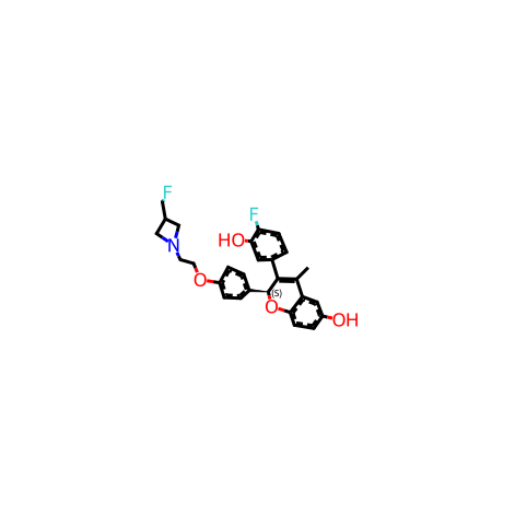 CC1=C(c2ccc(F)c(O)c2)[C@H](c2ccc(OCCN3CC(CF)C3)cc2)Oc2ccc(O)cc21